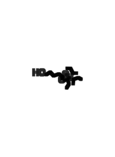 CCC(C)[Si](OC(=O)CCCCO)(C(C)CC)C(C)CC